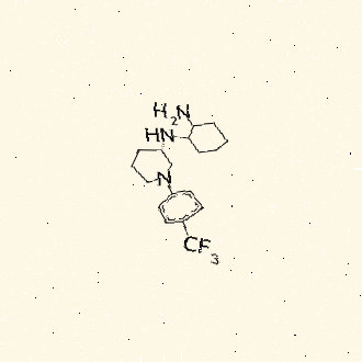 NC1CCCCC1N[C@H]1CCCN(c2ccc(C(F)(F)F)cc2)C1